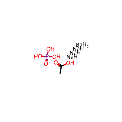 CC(=O)O.O=P(O)(O)O.[BaH2].[NaH].[NaH].[NaH]